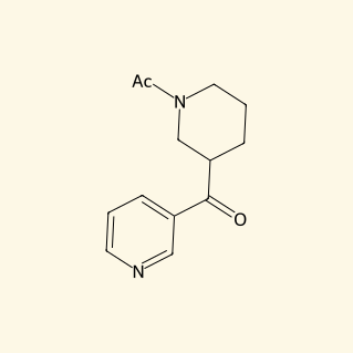 CC(=O)N1CCCC(C(=O)c2cccnc2)C1